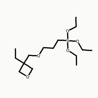 CCO[Si](CCCOCC1(CC)COC1)(OCC)OCC